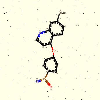 COc1ccc2c(Oc3ccc([SH](=N)=O)cc3)ccnc2c1